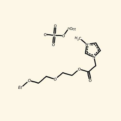 CCCCCCCCOS(=O)(=O)[O-].CCOCCOCCOC(=O)Cn1cc[n+](C)c1